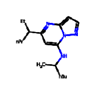 CCCCC(C)Nc1cc(C(CC)CCC)nc2ccnn12